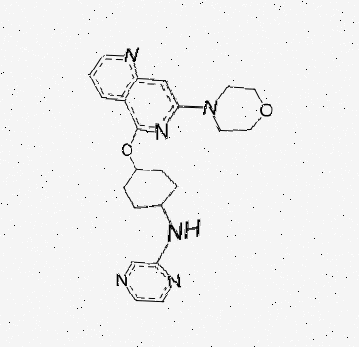 c1cnc2cc(N3CCOCC3)nc(OC3CCC(Nc4cnccn4)CC3)c2c1